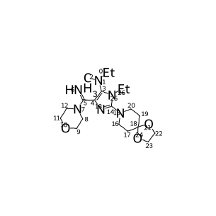 CCN(C)c1c(C(=N)N2CCOCC2)nc(N2CCC3(CC2)OCCO3)n1CC